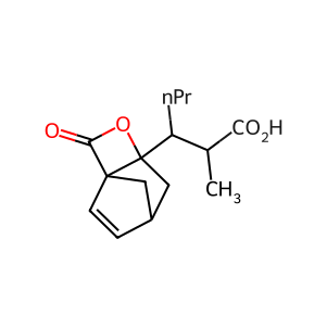 CCCC(C(C)C(=O)O)C12CC3C=CC1(C3)C(=O)O2